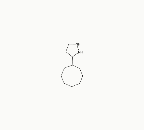 C1CCCC(C2CCNN2)CCC1